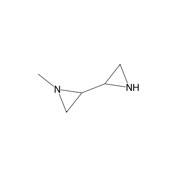 CN1CC1C1CN1